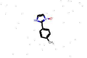 Cc1ccc(-c2[nH]cc[n+]2[O-])cc1